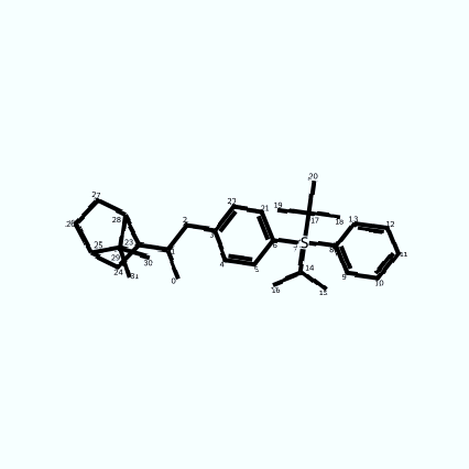 CC(Cc1ccc(S(c2ccccc2)(C(C)C)C(C)(C)C)cc1)C1CC2CCC1C2(C)C